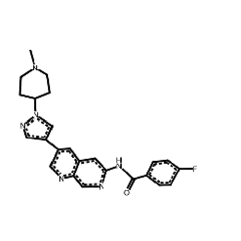 CN1CCC(n2cc(-c3cnc4cnc(NC(=O)c5ccc(F)cc5)cc4c3)cn2)CC1